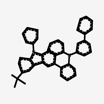 CC(C)(C)c1ccc2c(c1)c1cc(-c3ccccc3N(c3ccccc3)c3cccc(-c4ccccc4)c3)ccc1n2-c1ccccc1